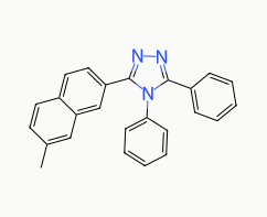 Cc1ccc2ccc(-c3nnc(-c4ccccc4)n3-c3ccccc3)cc2c1